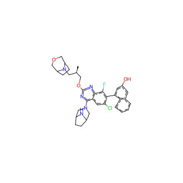 C[C@@H](COc1nc(N2CC3CCC(C2)N3)c2cc(Cl)c(-c3cc(O)cc4ccccc34)c(F)c2n1)CN1C2CCC1COC2